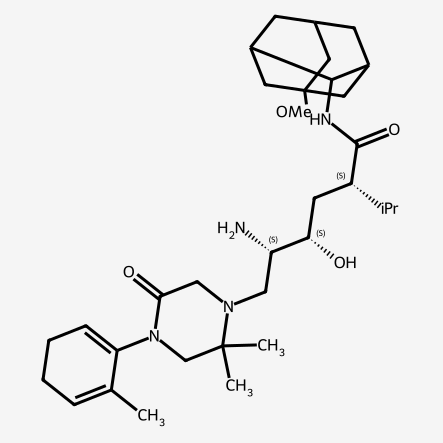 COC12CC3CC(C1)C(NC(=O)[C@@H](C[C@H](O)[C@@H](N)CN1CC(=O)N(C4=CCCC=C4C)CC1(C)C)C(C)C)C(C3)C2